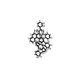 c1ccc(C2=NC(c3ccccc3)NC(c3ccc4ccccc4c3-c3ccc4c(c3)C3(c5ccccc5-4)c4ccccc4-n4c5ccccc5c5cccc3c54)N2)cc1